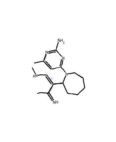 CN/C=C(\C(C)=N)C1CCCCCN1c1cc(C)nc(N)n1